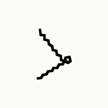 CCCCCCCCCCCC[N+]1(CCCCCCCCCC)CCCC1